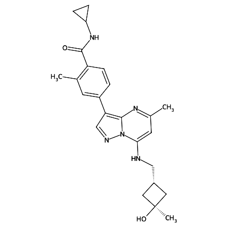 Cc1cc(NC[C@H]2C[C@](C)(O)C2)n2ncc(-c3ccc(C(=O)NC4CC4)c(C)c3)c2n1